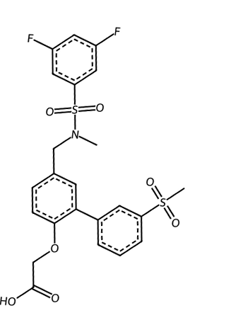 CN(Cc1ccc(OCC(=O)O)c(-c2cccc(S(C)(=O)=O)c2)c1)S(=O)(=O)c1cc(F)cc(F)c1